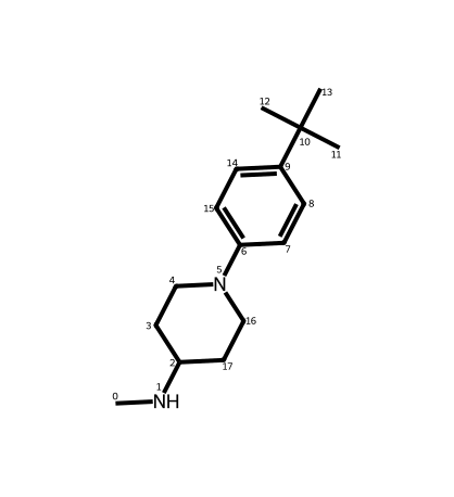 CNC1CCN(c2ccc(C(C)(C)C)cc2)CC1